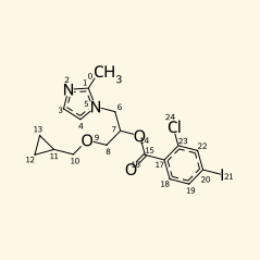 Cc1nccn1CC(COCC1CC1)OC(=O)c1ccc(I)cc1Cl